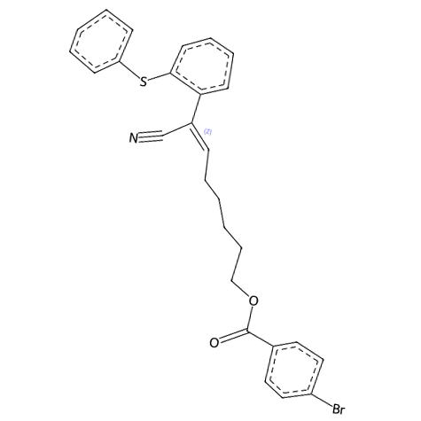 N#C/C(=C\CCCCCOC(=O)c1ccc(Br)cc1)c1ccccc1Sc1ccccc1